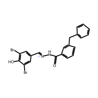 O=C(N/N=C/c1cc(Br)c(O)c(Br)c1)c1cccc(Cc2ccccc2)c1